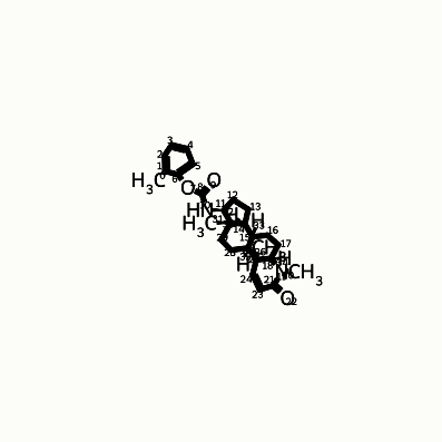 Cc1ccccc1OC(=O)N[C@H]1CC[C@H]2[C@@H]3CC[C@H]4N(C)C(=O)C=C[C@]4(C)[C@H]3CC[C@]12C